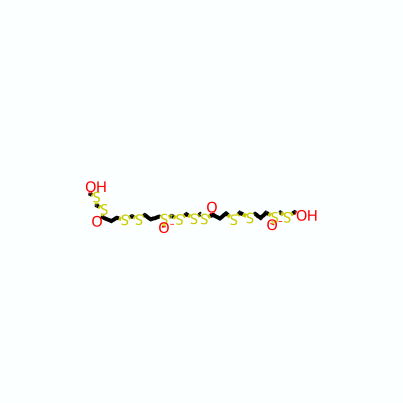 O=C(CCSCSCCC[S+]([O-])CSCSCSC(=O)CCSCSCCC[S+]([O-])CSCO)SCSCO